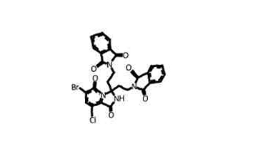 O=C1NC(CCN2C(=O)c3ccccc3C2=O)(CCN2C(=O)c3ccccc3C2=O)n2c1c(Cl)cc(Br)c2=O